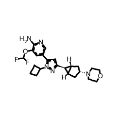 Nc1ncc(-c2cc([C@H]3[C@@H]4C[C@H](N5CCOCC5)C[C@@H]43)nn2C2CCC2)cc1OC(F)F